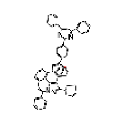 c1ccc(-c2cc(-c3ccccc3)nc(-c3ccc(-c4cccc(-c5cccc6cc(-c7ccccc7)n7nc(-c8ccccc8)c(-c8ccccc8)c7c56)c4)cc3)n2)cc1